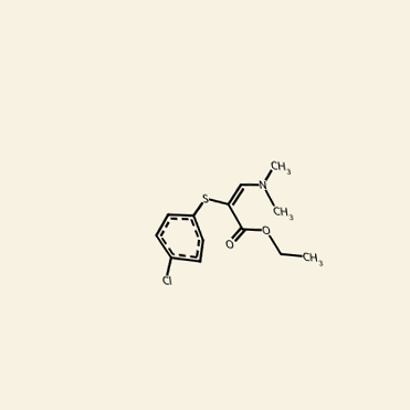 CCOC(=O)C(=CN(C)C)Sc1ccc(Cl)cc1